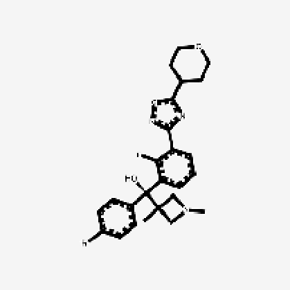 CC(C)c1ccc([C@](O)(c2cccc(-c3noc(C4CCOCC4)n3)c2F)C2(C)CN(C)C2)cc1